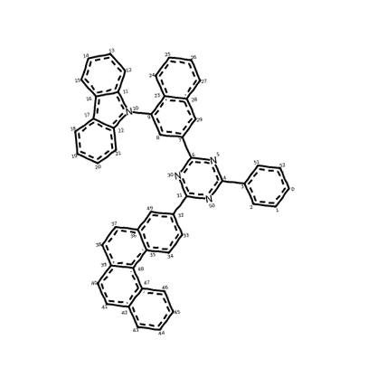 c1ccc(-c2nc(-c3cc(-n4c5ccccc5c5ccccc54)c4ccccc4c3)nc(-c3ccc4c(ccc5ccc6ccccc6c54)c3)n2)cc1